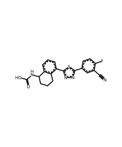 N#Cc1cc(-c2nnc(-c3cccc4c3CCCC4NC(=O)O)s2)ccc1F